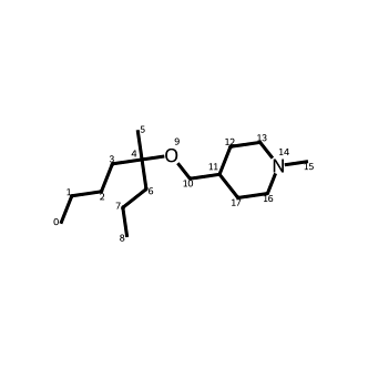 CCCCC(C)(CCC)OCC1CCN(C)CC1